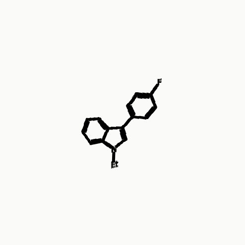 CCn1cc(-c2ccc(F)cc2)c2ccccc21